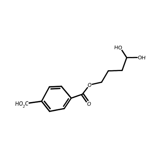 O=C(O)c1ccc(C(=O)OCCCC(O)O)cc1